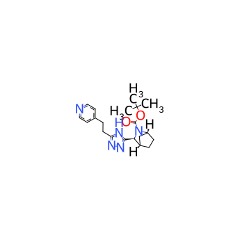 CC(C)(C)OC(=O)N1[C@@H]2CC[C@@H](C2)[C@H]1c1nnc(CCc2ccncc2)[nH]1